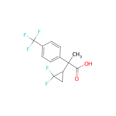 CC(C(=O)O)(c1ccc(C(F)(F)F)cc1)C1CC1(F)F